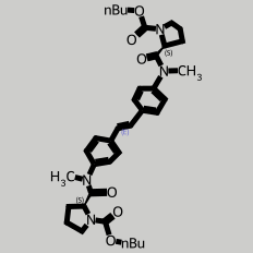 CCCCOC(=O)N1CCC[C@H]1C(=O)N(C)c1ccc(/C=C/c2ccc(N(C)C(=O)[C@@H]3CCCN3C(=O)OCCCC)cc2)cc1